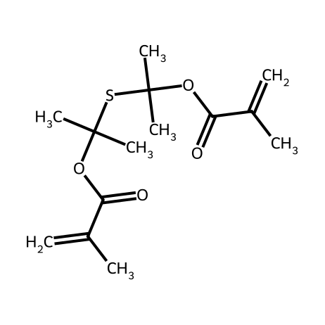 C=C(C)C(=O)OC(C)(C)SC(C)(C)OC(=O)C(=C)C